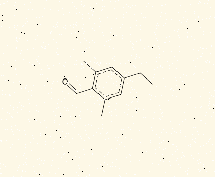 CCc1cc(C)c(C=O)c(C)c1